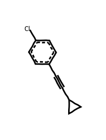 Clc1ccc(C#CC2CC2)cc1